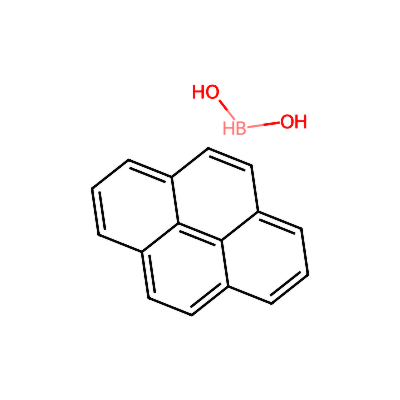 OBO.c1cc2ccc3cccc4ccc(c1)c2c34